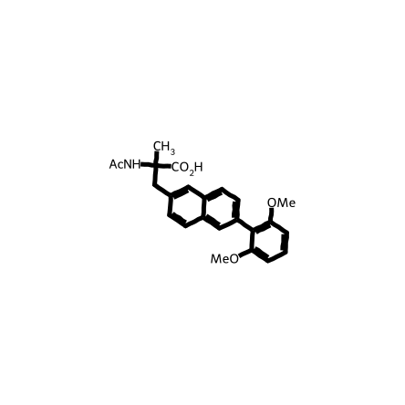 COc1cccc(OC)c1-c1ccc2cc(CC(C)(NC(C)=O)C(=O)O)ccc2c1